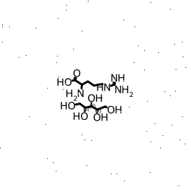 N=C(N)NCCCC(N)C(=O)O.OC[C@@H](O)[C@H](O)[C@@H](O)CO